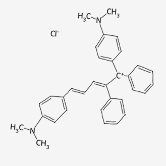 CN(C)c1ccc(C=CC=C(c2ccccc2)[C+](c2ccccc2)c2ccc(N(C)C)cc2)cc1.[Cl-]